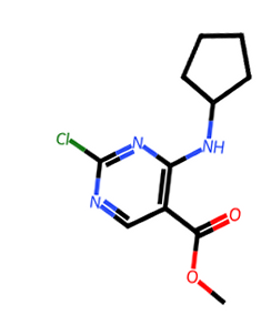 COC(=O)c1cnc(Cl)nc1NC1CCCC1